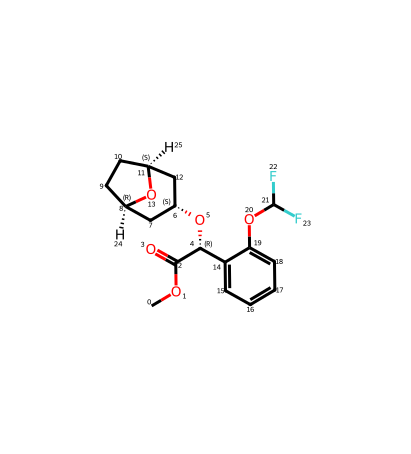 COC(=O)[C@H](O[C@@H]1C[C@H]2CC[C@@H](C1)O2)c1ccccc1OC(F)F